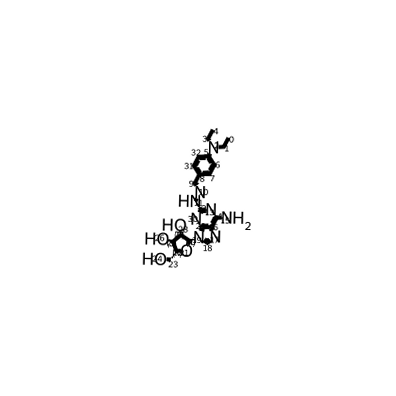 CCN(CC)c1ccc(C=NNc2nc(N)c3ncn([C@@H]4O[C@H](CO)[C@@H](O)[C@H]4O)c3n2)cc1